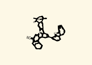 CC12CCC(C)(CC1)c1cc3c4cc(-c5cccc6c5oc5ccccc56)cc5c6c7c(c(C#N)cc6n(c3cc1C2=O)c45)CC1CCCC7C1